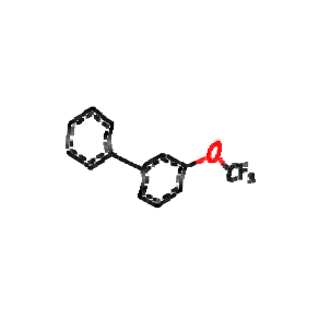 FC(F)(F)Oc1cccc(-c2ccccc2)c1